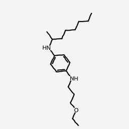 CCCCCCC(C)Nc1ccc(NCCCOCC)cc1